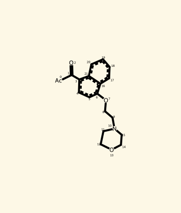 CC(=O)C(=O)c1ccc(OCCN2CCOCC2)c2ccccc12